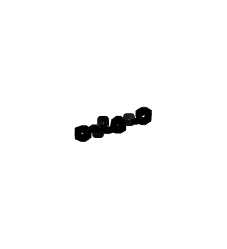 O=C([CH]c1ccc(OCc2ccccc2)cc1)OCc1ccccc1